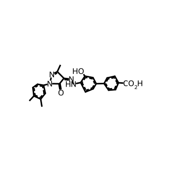 CC1=NN(c2ccc(C)c(C)c2)C(=O)C1=NNc1ccc(-c2ccc(C(=O)O)cc2)cc1O